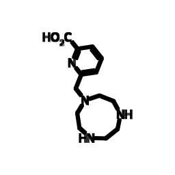 O=C(O)c1cccc(CN2CCNCCNCC2)n1